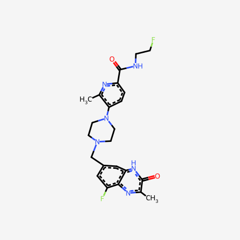 Cc1nc(C(=O)NCCF)ccc1N1CCN(Cc2cc(F)c3nc(C)c(=O)[nH]c3c2)CC1